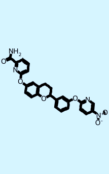 NC(=O)c1[c]ccc(Oc2ccc3c(c2)CCC(c2cccc(Oc4ccc([N+](=O)[O-])cn4)c2)O3)n1